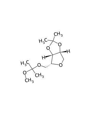 COC(C)(C)OC[C@H]1OC[C@H]2OC(C)(C)O[C@@H]12